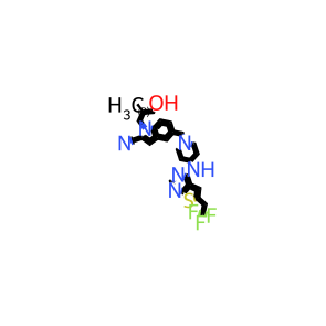 C[C@@H](CO)Cn1c(C#N)cc2cc(CN3CCC(Nc4ncnc5sc(CC(F)(F)F)cc45)CC3)ccc21